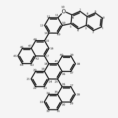 c1ccc2cc3c(cc2c1)oc1ccc(-c2cc(-c4c5ccccc5c(-c5cccc6ccccc56)c5ccccc45)c4ccccc4c2)cc13